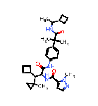 CC(NC(=O)C(C)(C)c1ccc(NC(=O)[C@@H](NC(=O)c2ccnn2C)C(C2CCC2)C2(C)CC2)cc1)C1CCC1